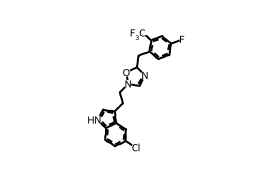 Fc1ccc(CC2N=CN(CCc3c[nH]c4ccc(Cl)cc34)O2)c(C(F)(F)F)c1